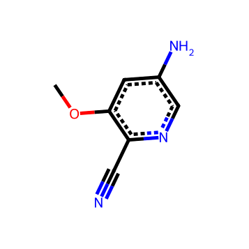 COc1cc(N)cnc1C#N